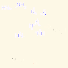 CC(=O)O.COc1cc([C@H](Nc2ccc(C(=N)N)cc2)c2nn(-c3ncccn3)c(=O)[nH]2)cc2c1OCCC2